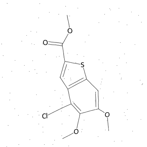 COC(=O)c1cc2c(Cl)c(OC)c(OC)cc2s1